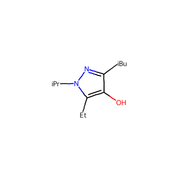 CCc1c(O)c(C(C)CC)nn1C(C)C